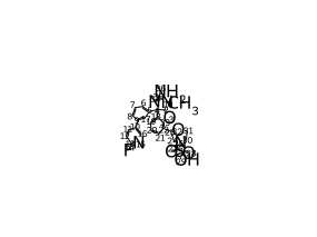 CN1C(=O)C(c2cccc(-c3ccc(F)nc3)c2)(c2cccc(C3CN(S(=O)(=O)O)CCO3)c2)N=C1N